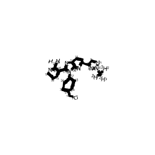 [2H]C([2H])([2H])n1ncc(-c2ccc3nc(-c4cccnc4N)n(-c4ccc(CCl)cc4)c3n2)n1